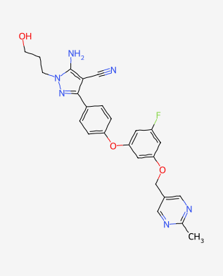 Cc1ncc(COc2cc(F)cc(Oc3ccc(-c4nn(CCCO)c(N)c4C#N)cc3)c2)cn1